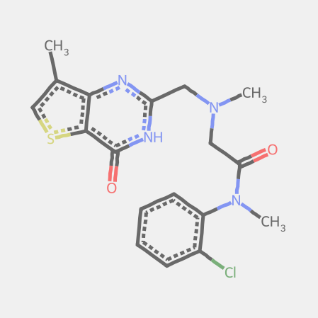 Cc1csc2c(=O)[nH]c(CN(C)CC(=O)N(C)c3ccccc3Cl)nc12